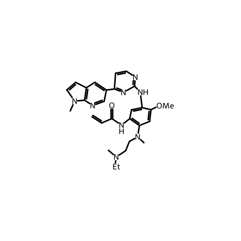 C=CC(=O)Nc1cc(Nc2nccc(-c3cnc4c(ccn4C)c3)n2)c(OC)cc1N(C)CCN(C)CC